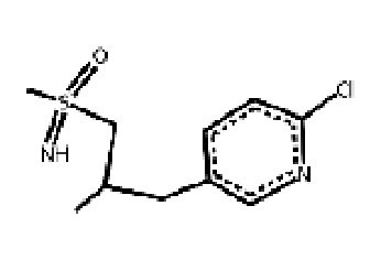 CC(Cc1ccc(Cl)nc1)CS(C)(=N)=O